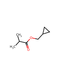 CC(C)C(=O)OCC1CC1